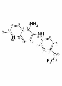 Cc1ccc2c(N)c(Nc3ccc(OC(F)(F)F)cc3)ccc2n1